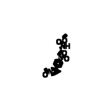 CCOC(=O)NC[C@H]1CN(c2ccc(C34CC3CN(C(C)=O)C4)cc2)C(=O)O1